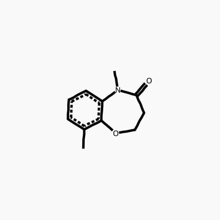 Cc1cccc2c1OCCC(=O)N2C